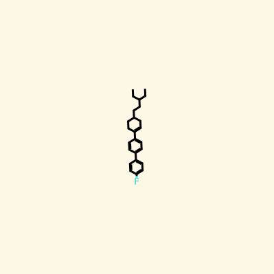 CCC(CC)CCC1CC=C(c2ccc(-c3ccc(F)cc3)cc2)CC1